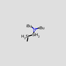 CCC(C)N([SiH2][SiH2]C)C(C)CC